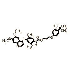 COc1cc2nccc(Oc3cc(C)c(NC(=O)OCCCSc4ccc(C(C)(C)C)cc4)cc3C)c2cc1OC